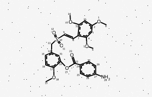 COc1cc(OC)c(/C=C/S(=O)(=O)Cc2ccc(OC)c(OC(=O)c3ccc(N)cc3)c2)c(OC)c1